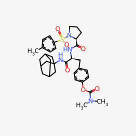 Cc1ccc(S(=O)(=O)N2CCC[C@H]2C(=O)N[C@@H](Cc2ccc(OC(=O)N(C)C)cc2)C(=O)NC23CC4CC(CC(C4)C2)C3)cc1